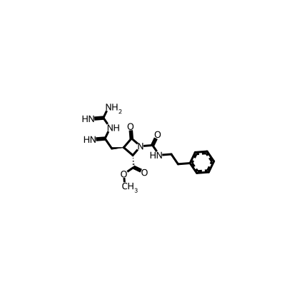 COC(=O)[C@@H]1[C@@H](CC(=N)NC(=N)N)C(=O)N1C(=O)NCCc1ccccc1